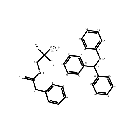 O=C(Cc1ccccc1)SCC(F)(F)S(=O)(=O)O.c1ccc(SC(c2ccccc2)c2ccccc2)cc1